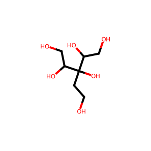 OCCC(O)(C(O)CO)C(O)CO